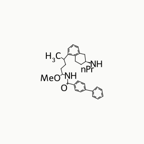 CCCN[C@H]1CCc2c(cccc2C(C)CCC(NC(=O)c2ccc(-c3ccccc3)cc2)OC)C1